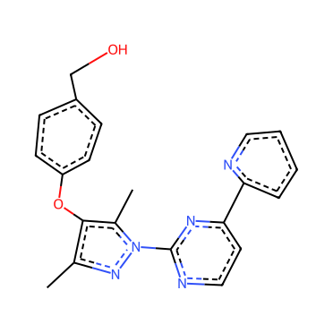 Cc1nn(-c2nccc(-c3ccccn3)n2)c(C)c1Oc1ccc(CO)cc1